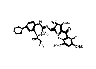 C=CC(=O)Nc1cc(N2CCOCC2)ccc1N/C(C)=N/C=c1/oc(C(=O)c2c(F)c(OC)cc(OC)c2F)c(NC)c1=C